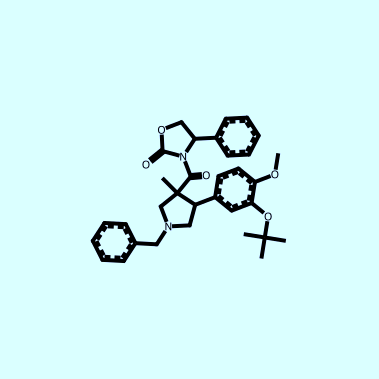 COc1ccc(C2CN(Cc3ccccc3)CC2(C)C(=O)N2C(=O)OCC2c2ccccc2)cc1OC(C)(C)C